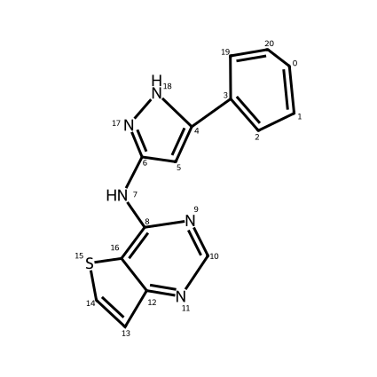 c1ccc(-c2cc(Nc3ncnc4ccsc34)n[nH]2)cc1